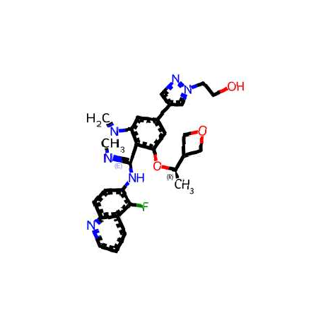 C=Nc1cc(-c2cnn(CCO)c2)cc(O[C@H](C)C2COC2)c1/C(=N\C)Nc1ccc2ncccc2c1F